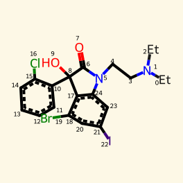 CCN(CC)CCN1C(=O)C(O)(c2ccccc2Cl)c2c(Br)cc(I)cc21